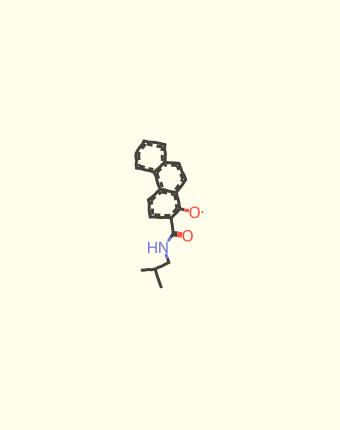 CC(C)CNC(=O)c1ccc2c(ccc3ccccc32)c1[O]